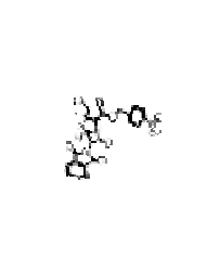 C[C@@]1(CCl)S[C@@H]2C(N3C(=O)c4ccccc4C3=O)C(=O)N2C1C(=O)OCc1ccc([N+](=O)[O-])cc1